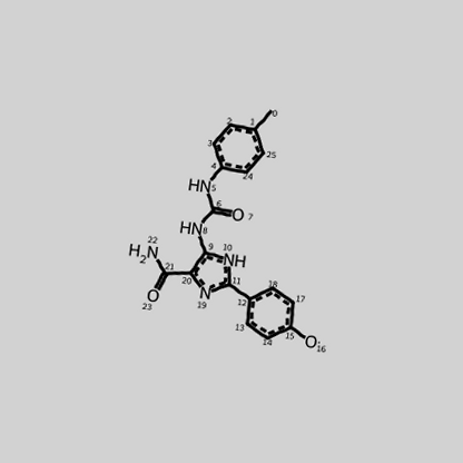 Cc1ccc(NC(=O)Nc2[nH]c(-c3ccc([O])cc3)nc2C(N)=O)cc1